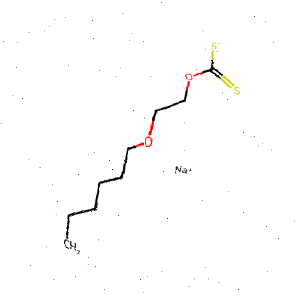 CCCCCCOCCOC(=S)[S-].[Na+]